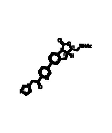 CC(=O)NC[C@@H]1OC(=O)N2c3ccc(-c4ccc(C(=O)Cn5ccnc5)nc4)cc3C[C@@H]12